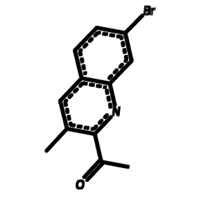 CC(=O)c1nc2cc(Br)ccc2cc1C